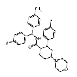 Cc1ccc(C(NC(=O)C2CCC(N3CCOCC3)CC2c2ccc(F)cc2)c2ccc(F)cc2)cc1